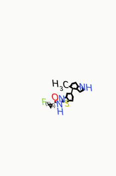 Cc1ccc2[nH]ccc2c1-c1ccc2sc(NC(=O)[C@@H]3C[C@@H]3F)nc2c1